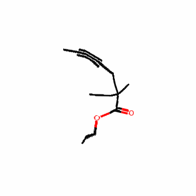 CC#CCC(C)(C)C(=O)OCC